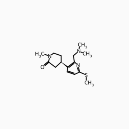 CSc1ccc([C@@H]2CCN(C)C(=O)C2)c(CN(C)C)n1